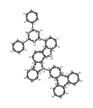 c1ccc(-c2nc(-c3ccccc3)nc(-c3cccc4oc5c(ccc6c7ccccc7n(-c7ccc8c9ccccc9c9ccccc9c8c7)c65)c34)n2)cc1